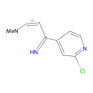 CN/C=C\C(=N)c1ccnc(Cl)c1